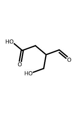 O=CC(CO)CC(=O)O